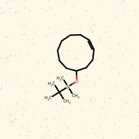 CC(C)(C)[Si](C)(C)OC1CCC=CCCCCCC1